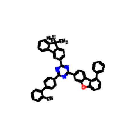 CC1(C)c2ccccc2-c2cc(-c3nc(-c4ccc(-c5ccccc5C#N)cc4)nc(-c4ccc5c(c4)oc4cccc(-c6ccccc6)c45)n3)ccc21